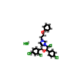 Br.Clc1ccc(C(OCc2ccc(Cl)cc2Cl)C(Cl)N2C=CN(CCOc3ccccc3)C2)cc1